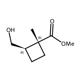 COC(=O)[C@]1(C)CC[C@H]1CO